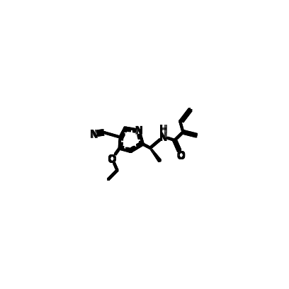 C=CC(=C)C(=O)N[C@@H](C)c1cc(OCC)c(C#N)cn1